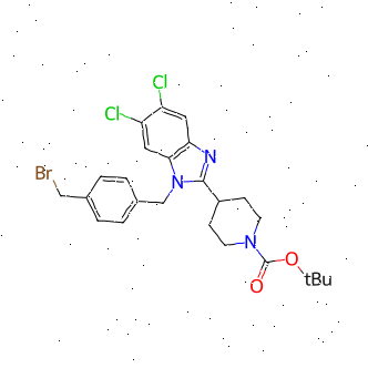 CC(C)(C)OC(=O)N1CCC(c2nc3cc(Cl)c(Cl)cc3n2Cc2ccc(CBr)cc2)CC1